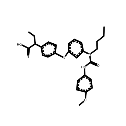 CCCCN(C(=O)Nc1ccc(OC)cc1)c1cccc(Sc2ccc(C(CC)C(=O)O)cc2)c1